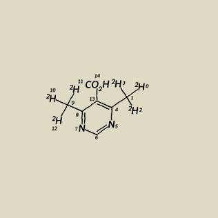 [2H]C([2H])([2H])c1ncnc(C([2H])([2H])[2H])c1C(=O)O